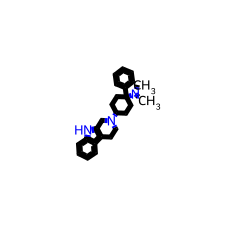 CN(C)C1(c2ccccc2)CCC(N2CCc3c([nH]c4ccccc34)C2)CC1